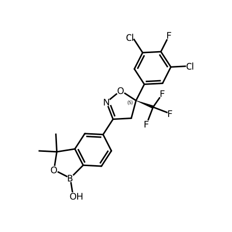 CC1(C)OB(O)c2ccc(C3=NO[C@@](c4cc(Cl)c(F)c(Cl)c4)(C(F)(F)F)C3)cc21